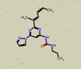 C/C=C\C=C(/C)c1nc(NC(=O)NCCC)cc(-n2cccn2)n1